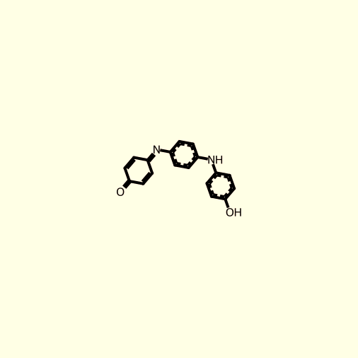 O=C1C=CC(=Nc2ccc(Nc3ccc(O)cc3)cc2)C=C1